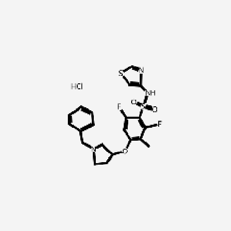 Cc1c(OC2CCN(Cc3ccccc3)C2)cc(F)c(S(=O)(=O)Nc2cscn2)c1F.Cl